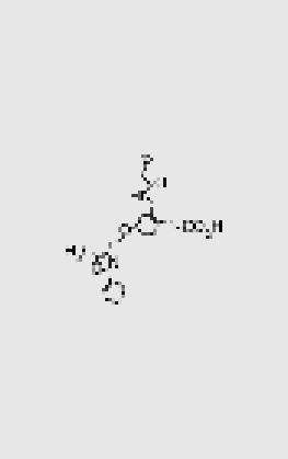 Cc1oc(-c2ccccc2)nc1CCOc1ccc(CCC(=O)O)c(CNC(=O)CC2CC2)c1